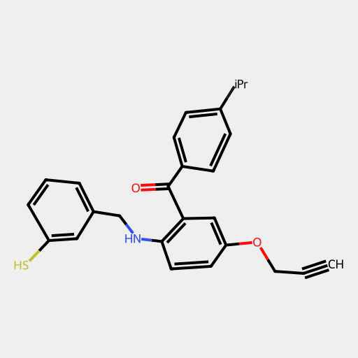 C#CCOc1ccc(NCc2cccc(S)c2)c(C(=O)c2ccc(C(C)C)cc2)c1